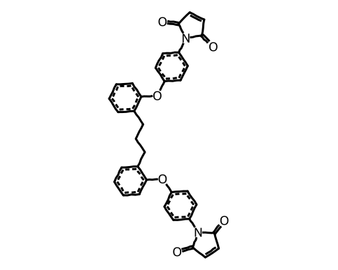 O=C1C=CC(=O)N1c1ccc(Oc2ccccc2CCCc2ccccc2Oc2ccc(N3C(=O)C=CC3=O)cc2)cc1